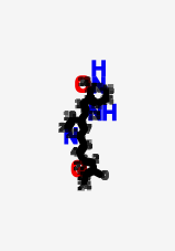 Cc1cc(C=Cc2cc(-c3cc4c([nH]3)CCNC4=O)ccn2)oc1C